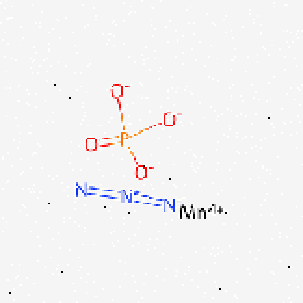 O=P([O-])([O-])[O-].[Mn+4].[N-]=[N+]=[N-]